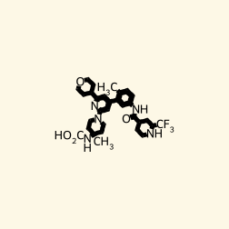 Cc1ccc(NC(=O)C2CCNC(C(F)(F)F)C2)cc1-c1cc(C2CCOCC2)nc(N2CCC(C)(NC(=O)O)CC2)c1